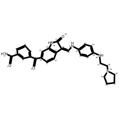 NC(=O)c1cccc(C(=O)c2ccc3c(c2)NC(=O)C3=CNc2ccc(NCCN3CCCC3)cc2)c1